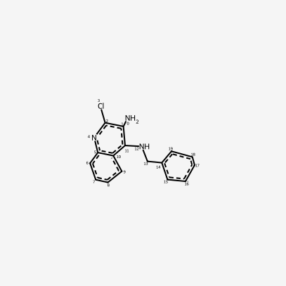 Nc1c(Cl)nc2ccccc2c1NCc1c[c]ccc1